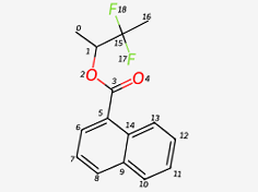 CC(OC(=O)c1cccc2ccccc12)C(C)(F)F